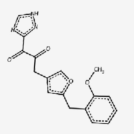 COc1ccccc1Cc1cc(CC(=O)C(=O)c2nc[nH]n2)co1